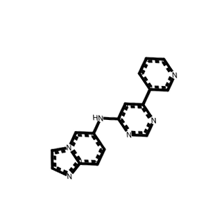 c1cncc(-c2cc(Nc3ccc4nccn4c3)ncn2)c1